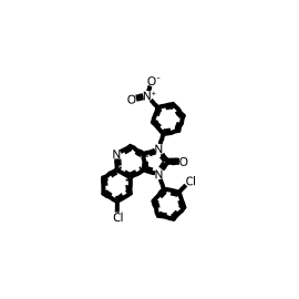 O=c1n(-c2cccc([N+](=O)[O-])c2)c2cnc3ccc(Cl)cc3c2n1-c1ccccc1Cl